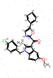 COc1ccc2c(c1)c(C(=O)c1ncc(-c3ccccc3)o1)c(C)n2Cc1ccc(Cl)cc1